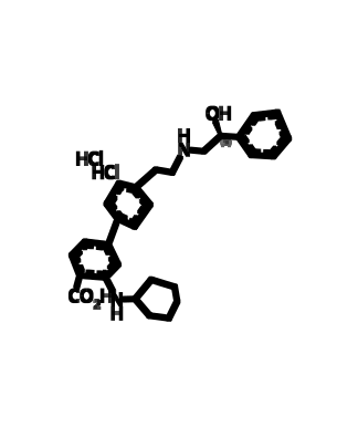 Cl.Cl.O=C(O)c1ccc(-c2ccc(CCNC[C@@H](O)c3ccccc3)cc2)cc1NC1CCCCC1